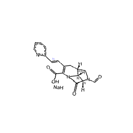 O=CN1C[C@H]2CC(/C=C/c3ccccn3)=C(C(=O)O)N3C(=O)[C@@H]1[C@@H]23.[NaH]